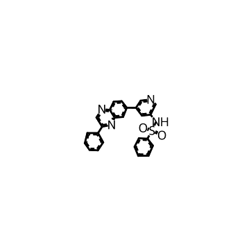 O=S(=O)(Nc1cncc(-c2ccc3ncc(-c4ccccc4)nc3c2)c1)c1ccccc1